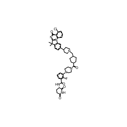 CC1(C)c2ccc(C3CCN(CC4CCC(C(=O)N5CCN(c6cccc(C(=O)N[C@H]7CCC(=O)NC7=O)c6F)CC5)CC4)CC3)cc2-n2c1nc(=O)c1c(Cl)cccc12